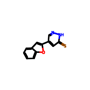 S=c1cc(-c2cc3ccccc3o2)cn[nH]1